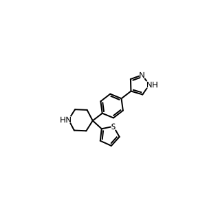 c1csc(C2(c3ccc(-c4cn[nH]c4)cc3)CCNCC2)c1